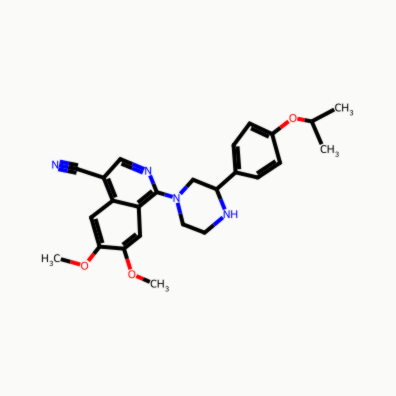 COc1cc2c(C#N)cnc(N3CCNC(c4ccc(OC(C)C)cc4)C3)c2cc1OC